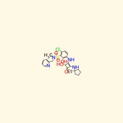 CCC1(NC2=C(Nc3ccc(Cl)c(S(=O)(=O)N(C)Cc4ccccn4)c3O)C(O)C2=O)CCCC1